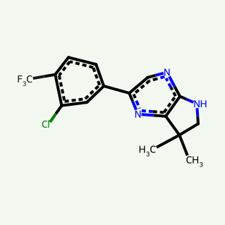 CC1(C)CNc2ncc(-c3ccc(C(F)(F)F)c(Cl)c3)nc21